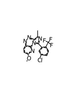 COc1ccc2nnc3c(C)nc(-c4cc(Cl)ccc4C(F)(F)F)n3c2n1